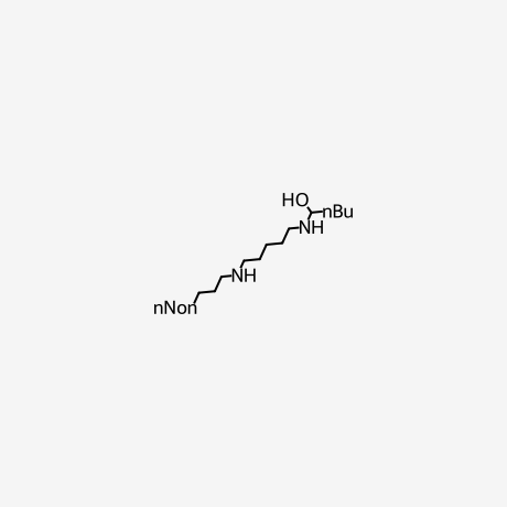 CCCCCCCCCCCCNCCCCCNC(O)CCCC